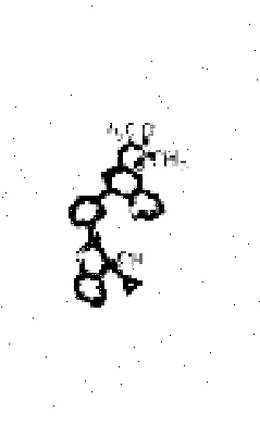 CC(Cc1cc(-c2cccc(COc3ccccc3C(O)(C3CC3)C3CC3)c2)c2ncccc2c1)S(C)(=O)=O